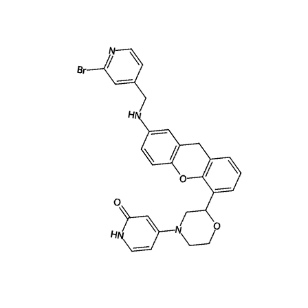 O=c1cc(N2CCOC(c3cccc4c3Oc3ccc(NCc5ccnc(Br)c5)cc3C4)C2)cc[nH]1